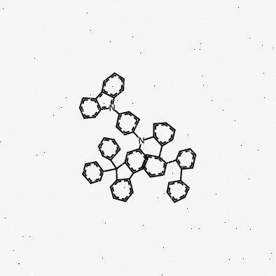 c1ccc(-c2ccccc2-c2ccccc2-c2ccccc2N(c2ccc(-n3c4ccccc4c4ccccc43)cc2)c2ccc3c(c2)C(c2ccccc2)(c2ccccc2)c2ccccc2-3)cc1